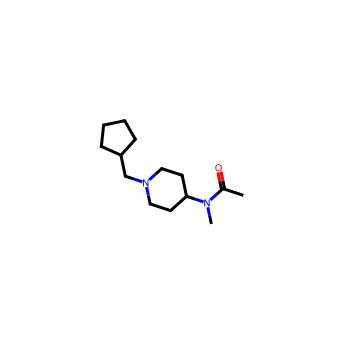 CC(=O)N(C)C1CCN(CC2CCCC2)CC1